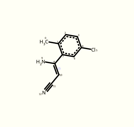 Cc1ccc(Cl)cc1/C(N)=C/C#N